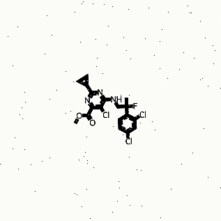 COC(=O)c1nc(C2CC2)nc(NCC(C)(F)c2ccc(Cl)cc2Cl)c1Cl